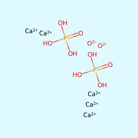 O=P(O)(O)O.O=P(O)(O)O.[Ca+2].[Ca+2].[Ca+2].[Ca+2].[Ca+2].[O-2].[O-2]